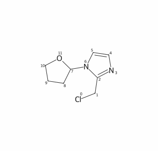 ClCc1nccn1C1CCCO1